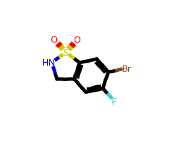 O=S1(=O)NCc2cc(F)c(Br)cc21